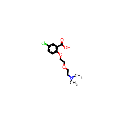 CN(C)CCOCCOc1ccc(Cl)cc1C(=O)O